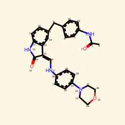 CC(=O)Nc1ccc(Cc2ccc3c(c2)C(=CNc2ccc(N4CCOCC4)cc2)C(=O)N3)cc1